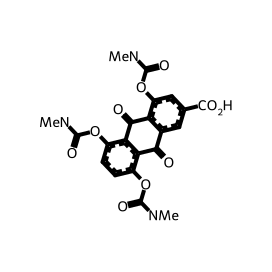 CNC(=O)Oc1cc(C(=O)O)cc2c1C(=O)c1c(OC(=O)NC)ccc(OC(=O)NC)c1C2=O